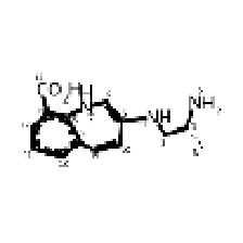 C[C@@H](N)CNC1=CNc2c(cccc2C(=O)O)C=C1